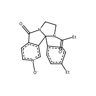 CCC(=O)N1CCN2C(=O)c3cc[n+]([O-])cc3C12c1ccc(CC)cc1